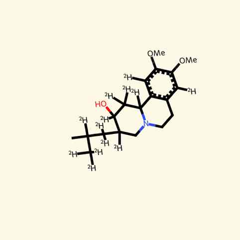 [2H]c1c2c(c([2H])c(OC)c1OC)C1([2H])N(CC2)CC([2H])(C([2H])([2H])C([2H])(C)C([2H])([2H])[2H])C([2H])(O)C1([2H])[2H]